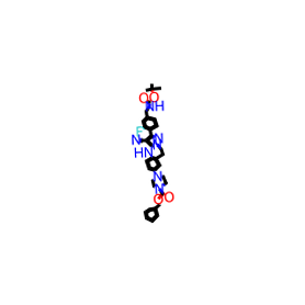 CC(C)(C)OC(=O)NCc1ccc(-c2nn3c(c2C#N)Nc2ccc(N4CCN(C(=O)OCc5ccccc5)CC4)cc2CC3)c(F)c1